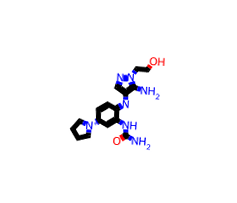 NC(=O)NC1=CC(=[N+]2CCCC2)C=CC1=Nc1cnn(CCO)c1N